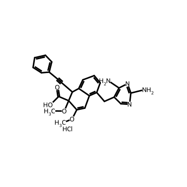 COC1=Cc2c(Cc3cnc(N)nc3N)cccc2C(C#Cc2ccccc2)C1(OC)C(=O)O.Cl